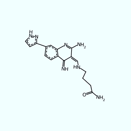 N=C1/C(=C\NCCCC(N)=O)C(N)=Nc2cc(-c3cc[nH]n3)ccc21